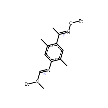 CCO/N=C(\C)c1cc(C)c(/N=C/N(C)CC)cc1C